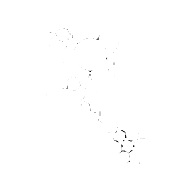 CC[C@H]1OC(=O)[C@H](C)[C@@H](O[C@H]2C[C@@](C)(OC)[C@@H](OS(=O)(=O)CCNCCSc3cc4c(=O)c(C(=O)O)cn(N(C)C)c4cn3)[C@H](C)O2)[C@H](C)[C@@H](O[C@@H]2O[C@H](C)C[C@H](N(C)C)[C@H]2O)[C@](C)(OC)C[C@@H](C)C(=O)[C@H](C)[C@@H](O)[C@]1(C)O